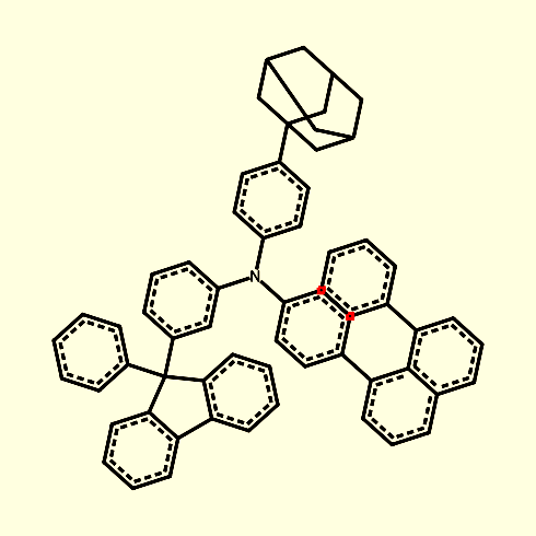 c1ccc(-c2cccc3cccc(-c4ccc(N(c5ccc(C67CC8CC(CC(C8)C6)C7)cc5)c5cccc(C6(c7ccccc7)c7ccccc7-c7ccccc76)c5)cc4)c23)cc1